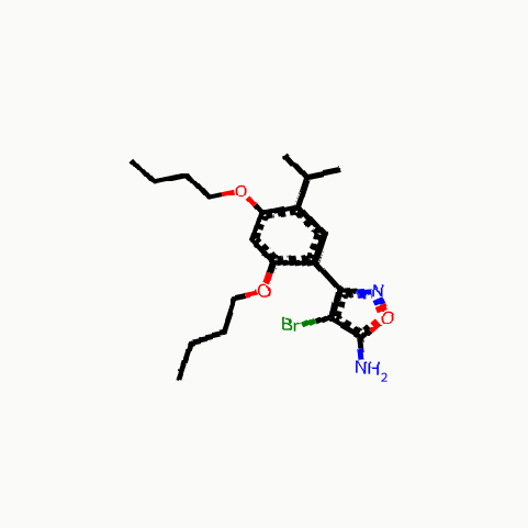 CCCCOc1cc(OCCCC)c(C(C)C)cc1-c1noc(N)c1Br